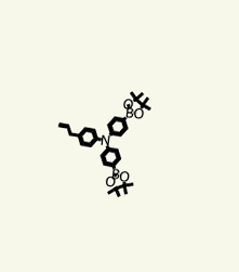 C=CCc1ccc(N(c2ccc(B3OC(C)(C)C(C)(C)O3)cc2)c2ccc(B3OC(C)(C)C(C)(C)O3)cc2)cc1